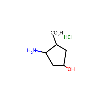 Cl.NC1CC(O)CC1C(=O)O